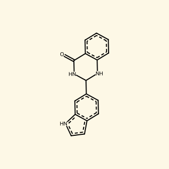 O=C1NC(c2ccc3cc[nH]c3c2)Nc2ccccc21